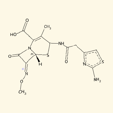 CO/N=C1\C(=O)N2C(C(=O)O)=C(C)C(NC(=O)Cc3csc(N)n3)S[C@H]12